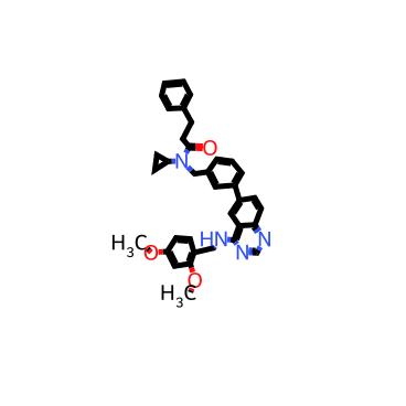 COc1ccc(CNc2ncnc3ccc(-c4cccc(CN(C(=O)CCc5ccccc5)C5CC5)c4)cc23)c(OC)c1